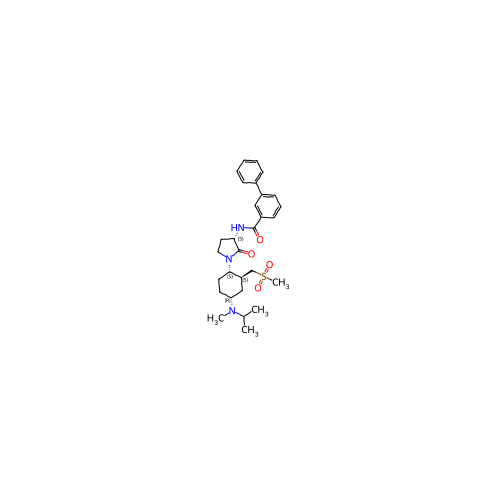 CC(C)N(C)[C@@H]1CC[C@H](N2CC[C@H](NC(=O)c3cccc(-c4ccccc4)c3)C2=O)[C@@H](CS(C)(=O)=O)C1